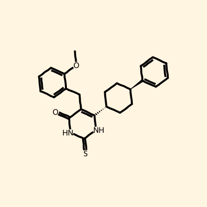 COc1ccccc1Cc1c(=O)[nH]c(=S)[nH]c1[C@H]1CC[C@H](c2ccccc2)CC1